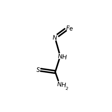 NC(=S)N[N]=[Fe]